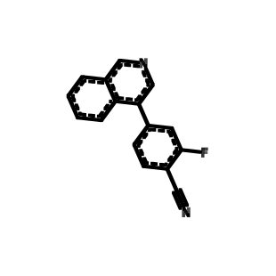 N#Cc1ccc(-c2cncc3ccccc23)cc1F